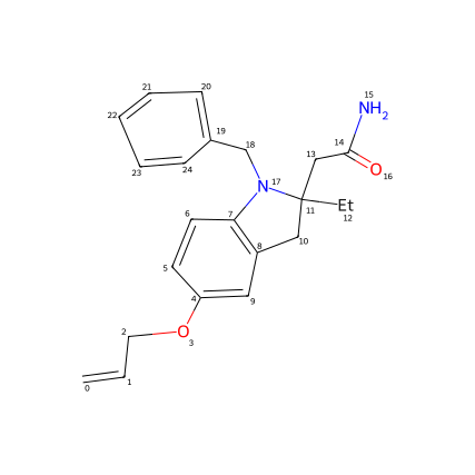 C=CCOc1ccc2c(c1)CC(CC)(CC(N)=O)N2Cc1ccccc1